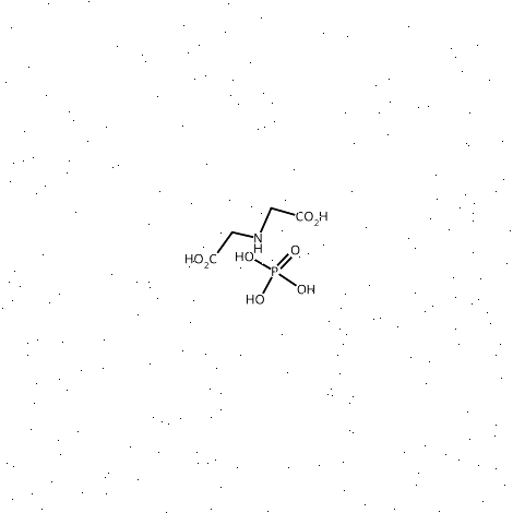 O=C(O)CNCC(=O)O.O=P(O)(O)O